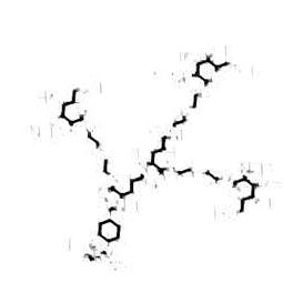 CSP(C)(=O)O[C@H]1CC[C@@H](C(=O)NC(CCC(=O)NC(CCC(=O)NCCOCCOC2OC(CO)C(O)C(O)C2NC(C)=O)C(=O)NCCOCCOC2OC(CO)C(O)C(O)C2NC(C)=O)C(=O)NCCOCCOC2OC(CO)C(O)C(O)C2NC(C)=O)CC1